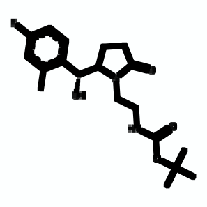 Cc1cc(F)ccc1[C@@H](O)C1CCC(=O)N1CCNC(=O)OC(C)(C)C